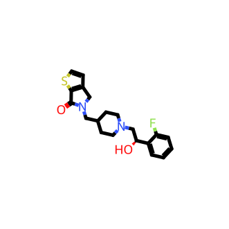 O=C1c2sccc2CN1CC1CCN(C[C@H](O)c2ccccc2F)CC1